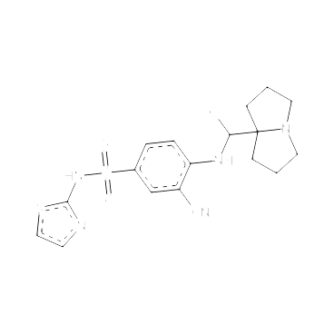 CC(Nc1ccc(S(=O)(=O)Nc2nccs2)cc1C#N)C12CCCN1CCC2